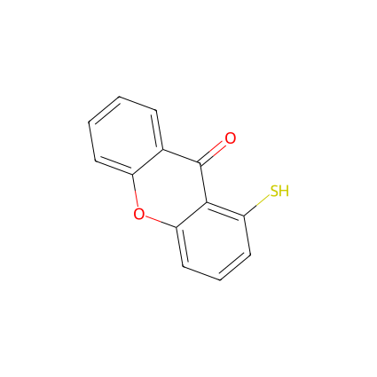 O=c1c2ccccc2oc2cccc(S)c12